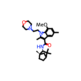 COc1cc(C)cc2c(C(=O)N[C@@H]3C(C)(C)C4CC[C@@]3(C)C4)c(C)n(CCN3CCOCC3)c12